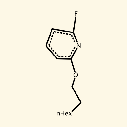 CCCCCCCCOc1cccc(F)n1